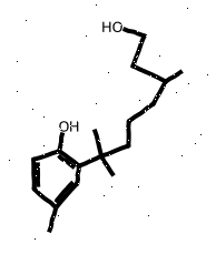 Cc1ccc(O)c(C(C)(C)CCCC(C)CCO)c1